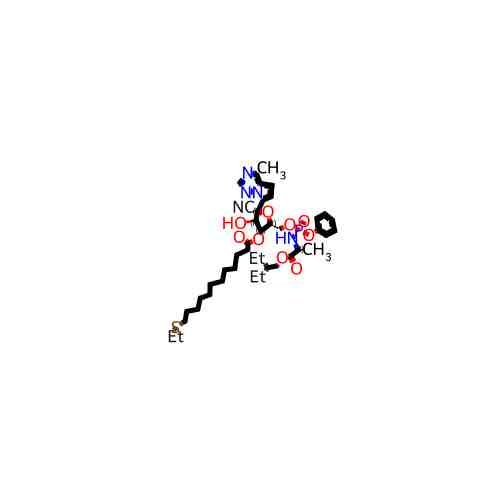 CCSCCCCCCCCCCCC(=O)O[C@H]1[C@@H](O)[C@](C#N)(c2ccc3c(C)ncnn23)O[C@@H]1COP(=O)(N[C@H](C)C(=O)OCC(CC)CC)Oc1ccccc1